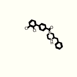 O=C(c1ccc(-c2cccc(Cl)c2Cl)cc1)N1CCNC(Cc2ccccc2)C1